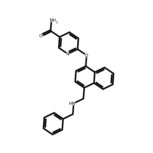 NC(=O)c1ccc(Oc2ccc(CNCc3ccccc3)c3ccccc23)nc1